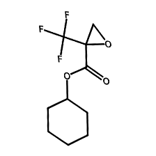 O=C(OC1CCCCC1)C1(C(F)(F)F)CO1